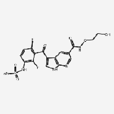 CCCS(=O)(=O)Nc1ccc(F)c(C(=O)c2c[nH]c3ncc(C(=O)NOCCO)cc23)c1F